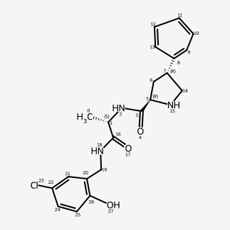 C[C@H](NC(=O)[C@H]1C[C@H](c2ccccc2)CN1)C(=O)NCc1cc(Cl)ccc1O